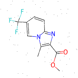 COC(=O)c1nc2ccc(C(F)(F)F)cn2c1C